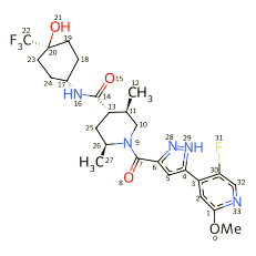 COc1cc(-c2cc(C(=O)N3C[C@H](C)[C@@H](C(=O)N[C@H]4CC[C@@](O)(C(F)(F)F)CC4)C[C@@H]3C)n[nH]2)c(F)cn1